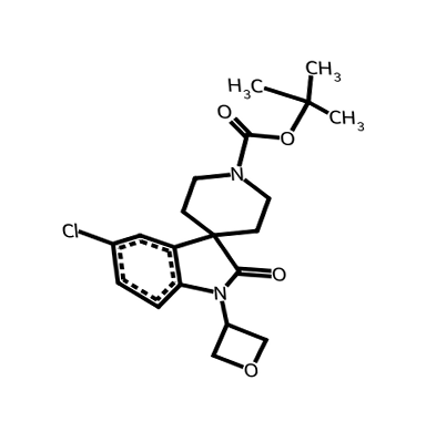 CC(C)(C)OC(=O)N1CCC2(CC1)C(=O)N(C1COC1)c1ccc(Cl)cc12